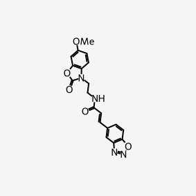 COc1ccc2c(c1)oc(=O)n2CCNC(=O)/C=C/c1ccc2onnc2c1